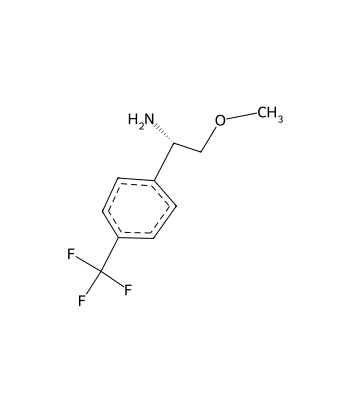 COC[C@@H](N)c1ccc(C(F)(F)F)cc1